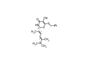 C/C(=C\C=C(/C)N(C)C)[C@@H]1NC(=O)C(C#N)=C(SCC(C)C)S1